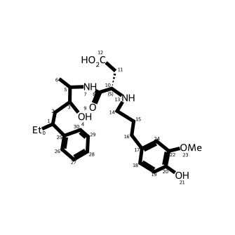 CCC(CC(O)C(C)NC(=O)[C@H](CC(=O)O)NCCCc1ccc(O)c(OC)c1)c1ccccc1